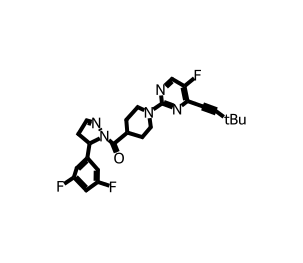 CC(C)(C)C#Cc1nc(N2CCC(C(=O)N3N=CCC3c3cc(F)cc(F)c3)CC2)ncc1F